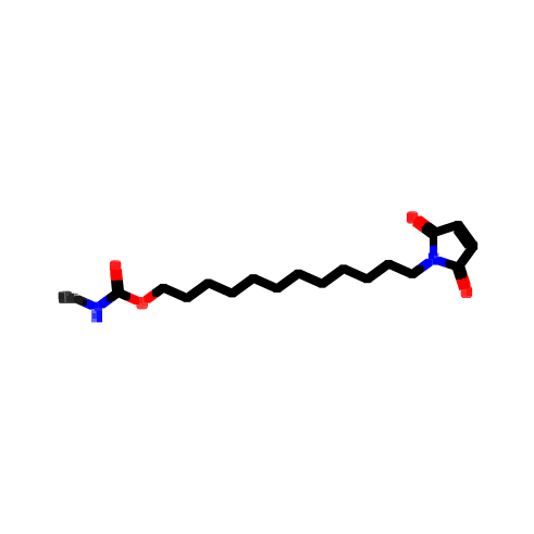 CC(C)(C)NC(=O)OCCCCCCCCCCCCN1C(=O)C=CC1=O